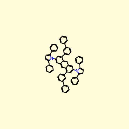 c1ccc(-c2cccc(-c3cc(-n4c(-c5ccccc5)ccc4-c4ccccc4)cc4cc5c(-c6cccc(-c7ccccc7)c6)cc(-n6c(-c7ccccc7)ccc6-c6ccccc6)cc5cc34)c2)cc1